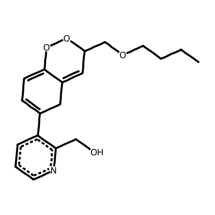 CCCCOCC1C=C2CC(c3cccnc3CO)=CC=C2OO1